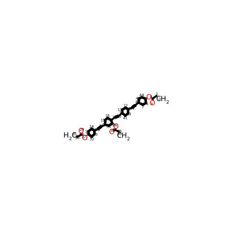 C=CC(=O)Oc1ccc(C#Cc2ccc(C#Cc3ccc(C#Cc4ccc(OC(=O)C=C)cc4)cc3OC(=O)C=C)cc2)cc1